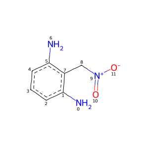 Nc1cccc(N)c1C[N+](=O)[O-]